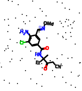 CCC(C)(NC(=O)c1cc(Cl)c(N)c(/C=N/OC)c1)C(=O)CC#N